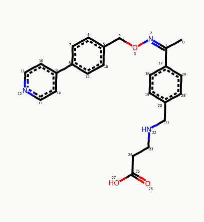 CC(=NOCc1ccc(-c2ccncc2)cc1)c1ccc(CNCCC(=O)O)cc1